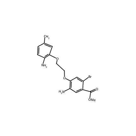 COC(=O)c1cc(N)c(OCCOc2cc(C)ccc2N)cc1Br